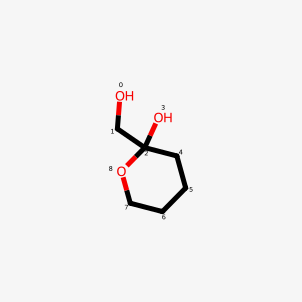 OCC1(O)CCCCO1